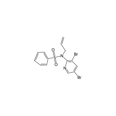 C=CCN(c1ncc(Br)cc1Br)S(=O)(=O)c1ccccc1